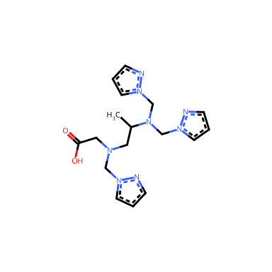 CC(CN(CC(=O)O)Cn1cccn1)N(Cn1cccn1)Cn1cccn1